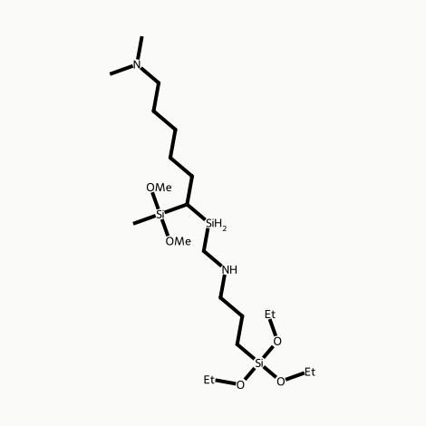 CCO[Si](CCCNC[SiH2]C(CCCCCN(C)C)[Si](C)(OC)OC)(OCC)OCC